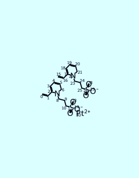 C=CC1=CC=CCN1CCCS(=O)(=O)[O-].C=CC1=CC=CCN1CCCS(=O)(=O)[O-].[Pt+2]